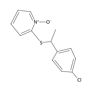 CC(Sc1cccc[n+]1[O-])c1ccc(Cl)cc1